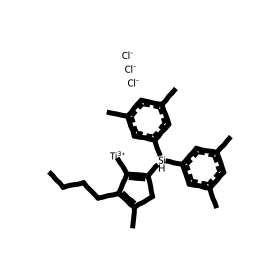 CCCCC1=C(C)CC([SiH](c2cc(C)cc(C)c2)c2cc(C)cc(C)c2)=[C]1[Ti+3].[Cl-].[Cl-].[Cl-]